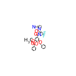 COc1cc(C(=O)N2CC(F)(F)C[C@H]2C(=O)N2CCC[C@H]2C#N)cc(OCc2ccccc2)c1OC(=O)c1ccccc1